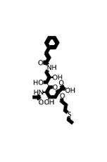 CCSCCCO[C@]1(C(=O)O)C[C@H](O)[C@@H](NC(C)=O)[C@H](C(O)[C@H](O)CNC(=O)/C=C/c2ccccc2)O1